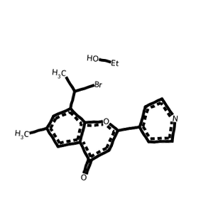 CCO.Cc1cc(C(C)Br)c2oc(-c3ccncc3)cc(=O)c2c1